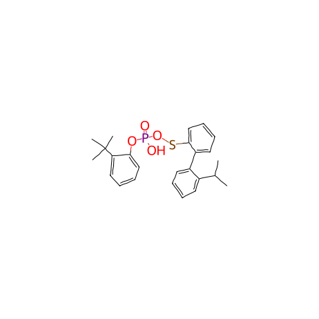 CC(C)c1ccccc1-c1ccccc1SOP(=O)(O)Oc1ccccc1C(C)(C)C